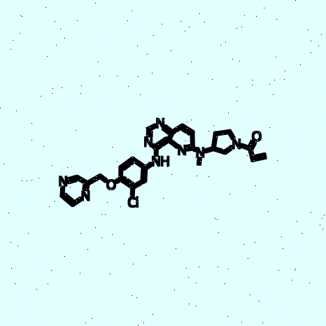 C=CC(=O)N1CCC(N(C)c2ccc3ncnc(Nc4ccc(OCc5cnccn5)c(Cl)c4)c3n2)C1